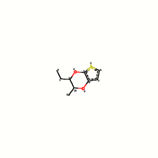 CCC1Oc2sccc2OC1C